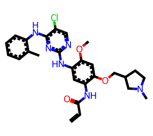 C=CC(=O)Nc1cc(Nc2ncc(Cl)c(Nc3ccccc3C)n2)c(OC)cc1OCC1CCN(C)C1